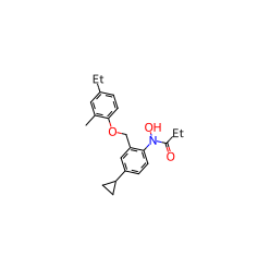 CCC(=O)N(O)c1ccc(C2CC2)cc1COc1ccc(CC)cc1C